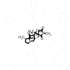 C[C@H]1CCN2C[C@]34C[C@]5(CC(=O)N(C)C5=O)C(C)(C)[C@@H]3CC12C(=O)N4C